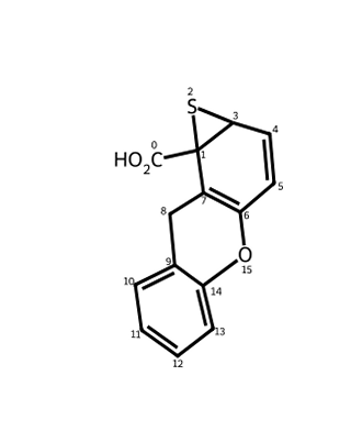 O=C(O)C12SC1C=CC1=C2Cc2ccccc2O1